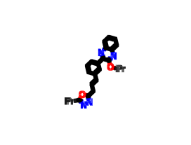 CC(C)Oc1nc2ccccc2nc1-c1cccc(/C=C/Cc2nnc(C(C)C)o2)c1